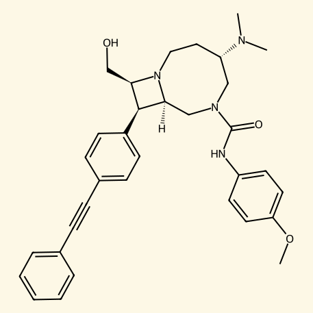 COc1ccc(NC(=O)N2C[C@@H](N(C)C)CCN3[C@H](CO)[C@H](c4ccc(C#Cc5ccccc5)cc4)[C@@H]3C2)cc1